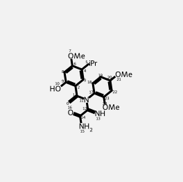 C=C(c1cc(C(C)C)c(OC)cc1O)N(C(=N)C(N)=O)c1ccc(OC)cc1OC